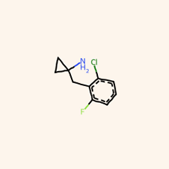 NC1(Cc2c(F)cccc2Cl)CC1